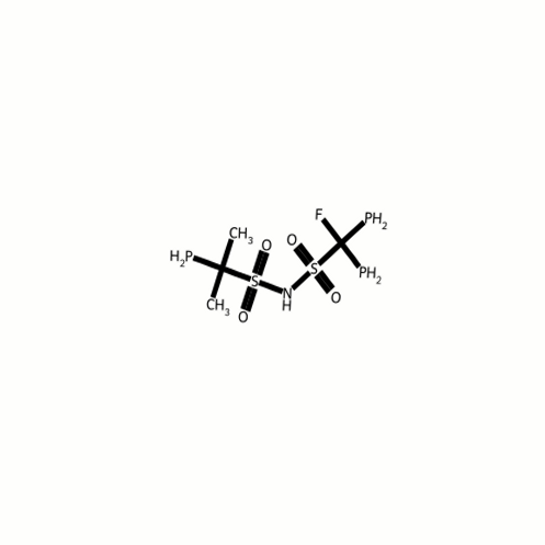 CC(C)(P)S(=O)(=O)NS(=O)(=O)C(F)(P)P